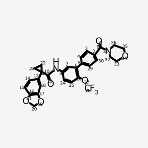 O=C(c1ccc(-c2cc(NC(=O)C3(c4ccc5c(c4)OCO5)CC3)ccc2OC(F)(F)F)cc1)N1CCOCC1